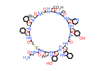 CCCC[C@H]1C(=O)N(C)CC(=O)N[C@@H](CC(=O)O)C(=O)N[C@@H](C(C)C)C(=O)N[C@@H](Cc2cccnc2)C(=O)N[C@@H](Cc2ccc(O)cc2)C(=O)N(C)CC(=O)N[C@@H](Cc2c[nH]c3ccccc23)C(=O)N[C@@H](Cc2ccc(O)cc2)C(=O)N[C@@H](CC(C)C)C(=O)N[C@H](C(=O)NCC(N)=O)CSCC(=O)N[C@@H](Cc2ccccc2)C(=O)N(C)[C@@H](Cc2ccccc2)C(=O)N1C